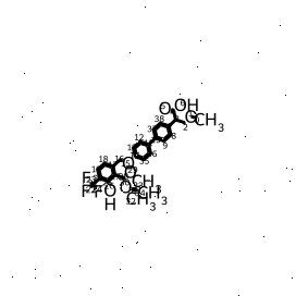 COCC(C(=O)O)c1ccc(-c2ccc(OCc3ccc(C(F)(F)F)c(O)c3C(=O)OC(C)(C)C)cc2)cc1